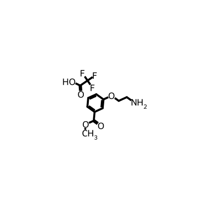 COC(=O)c1cccc(OCCN)c1.O=C(O)C(F)(F)F